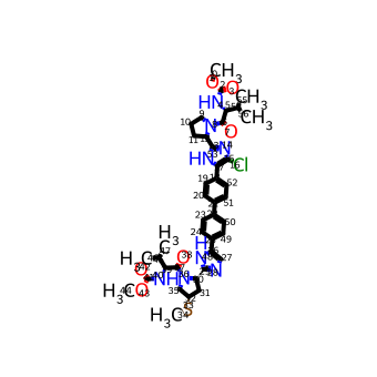 COC(=O)N[C@H](C(=O)N1CCCC1c1nc(Cl)c(-c2ccc(-c3ccc(-c4cnc([C@@H]5C[C@H](SC)CN5C(=O)[C@@H](NC(=O)OC)C(C)C)[nH]4)cc3)cc2)[nH]1)C(C)C